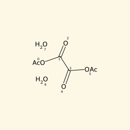 CC(=O)OC(=O)C(=O)OC(C)=O.O.O